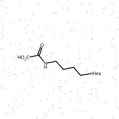 CCCCCCCCCCNC(=O)C(=O)O